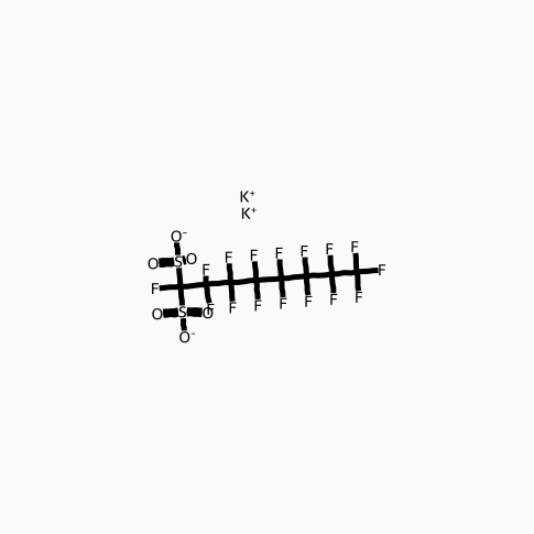 O=S(=O)([O-])C(F)(C(F)(F)C(F)(F)C(F)(F)C(F)(F)C(F)(F)C(F)(F)C(F)(F)F)S(=O)(=O)[O-].[K+].[K+]